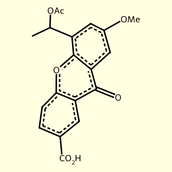 COc1cc(C(C)OC(C)=O)c2oc3ccc(C(=O)O)cc3c(=O)c2c1